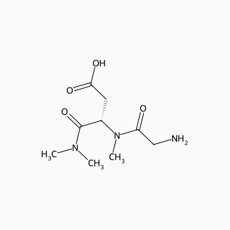 CN(C)C(=O)[C@H](CC(=O)O)N(C)C(=O)CN